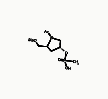 COC[C@@H]1C[C@@H](OP(C)(=O)O)CN1C(C)=O